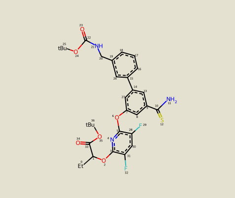 CCC(Oc1nc(Oc2cc(C(N)=S)cc(-c3cccc(CNC(=O)OC(C)(C)C)c3)c2)c(F)cc1F)C(=O)OC(C)(C)C